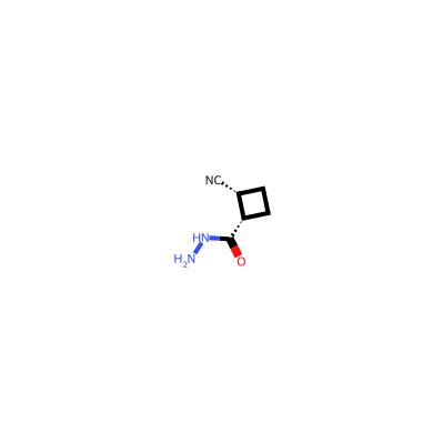 N#C[C@@H]1CC[C@@H]1C(=O)NN